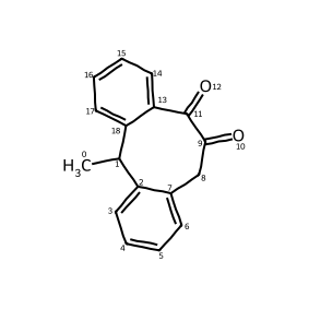 CC1c2ccccc2CC(=O)C(=O)c2ccccc21